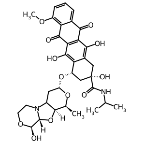 COc1cccc2c1C(=O)c1c(O)c3c(c(O)c1C2=O)C[C@@](O)(C(=O)NC(C)C)C[C@@H]3O[C@H]1CC2[C@H](O[C@@H]3[C@@H](O)OCCN23)[C@H](C)O1